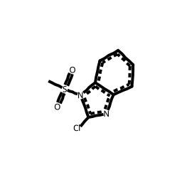 CS(=O)(=O)n1c(Cl)nc2ccccc21